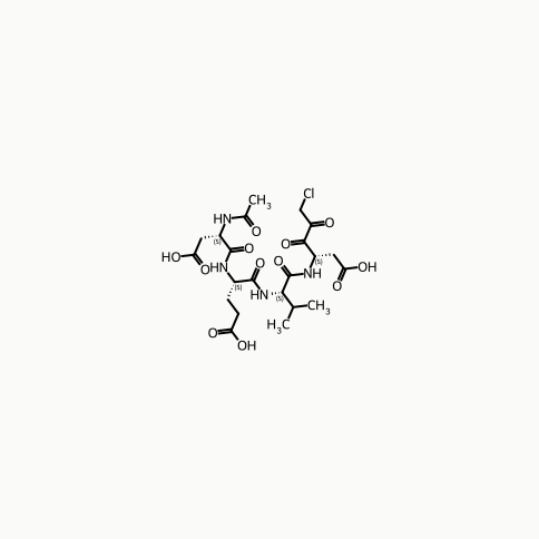 CC(=O)N[C@@H](CC(=O)O)C(=O)N[C@@H](CCC(=O)O)C(=O)N[C@H](C(=O)N[C@@H](CC(=O)O)C(=O)C(=O)CCl)C(C)C